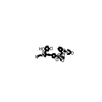 N#CCCn1cc(C#Cc2ccc(NC(=O)[C@@H]3COCCN3C(=O)[C@H](NC(=O)N3CCC(=O)CC3)c3ccccc3)cc2)c(-c2cc(Cl)ccc2O)n1